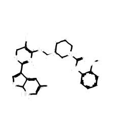 COc1ccccc1OC(=O)N1CCC[C@H](CNC2=C(F)CNC(C3=CNC4NC=C(Cl)C=C34)=N2)C1